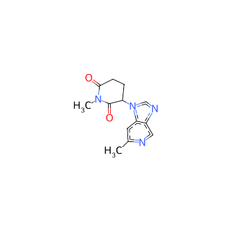 Cc1cc2c(cn1)ncn2C1CCC(=O)N(C)C1=O